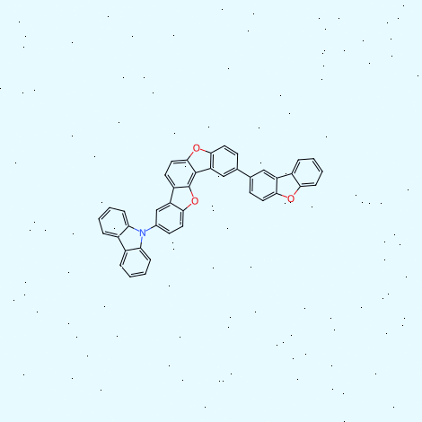 c1ccc2c(c1)oc1ccc(-c3ccc4oc5ccc6c7cc(-n8c9ccccc9c9ccccc98)ccc7oc6c5c4c3)cc12